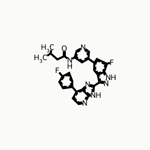 CC(C)CC(=O)Nc1cncc(-c2cc(F)c3[nH]nc(-c4nc5c(-c6ccc(F)cc6)ccnc5[nH]4)c3c2)c1